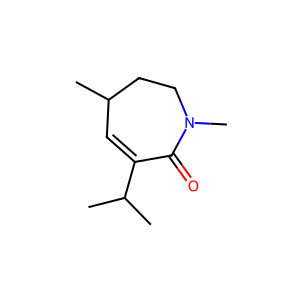 CC1C=C(C(C)C)C(=O)N(C)CC1